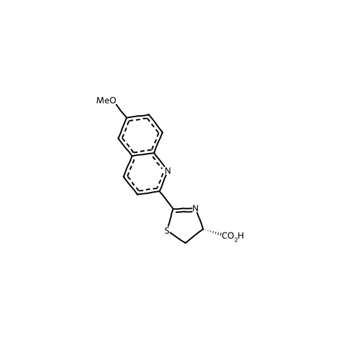 COc1ccc2nc(C3=N[C@H](C(=O)O)CS3)ccc2c1